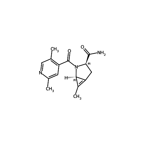 CC1=C2C[C@H](C(N)=O)N(C(=O)c3cc(C)ncc3C)[C@H]12